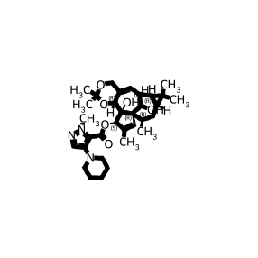 CC1=C[C@]23C(O)[C@@H](C=C4COC(C)(C)O[C@H]4[C@]2(O)[C@H]1OC(=O)c1c(N2CCCCC2)cnn1C)[C@H]1[C@@H](C[C@H]3C)C1(C)C